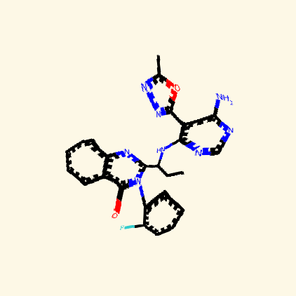 CCC(Nc1ncnc(N)c1-c1nnc(C)o1)c1nc2ccccc2c(=O)n1-c1ccccc1F